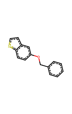 c1ccc(COc2ccc3sccc3c2)cc1